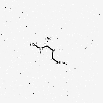 CC(=O)NCC[C@H](NS)C(C)=O